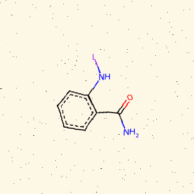 NC(=O)c1ccccc1NI